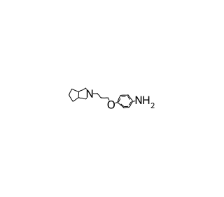 Nc1ccc(OCCCN2CC3CCCC3C2)cc1